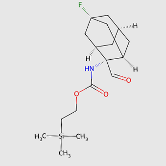 C[Si](C)(C)CCOC(=O)N[C@]1(C=O)[C@@H]2C[C@@H]3C[C@@H]1C[C@@](F)(C2)C3